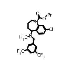 CC(C)OC(=O)N1CCCC(N(C)Cc2cc(C(F)(F)F)cc(C(F)(F)F)c2)c2ccc(Cl)cc21